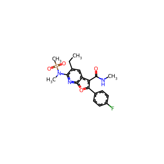 CCc1cc2c(C(=O)NC)c(-c3ccc(F)cc3)oc2nc1N(C)S(C)(=O)=O